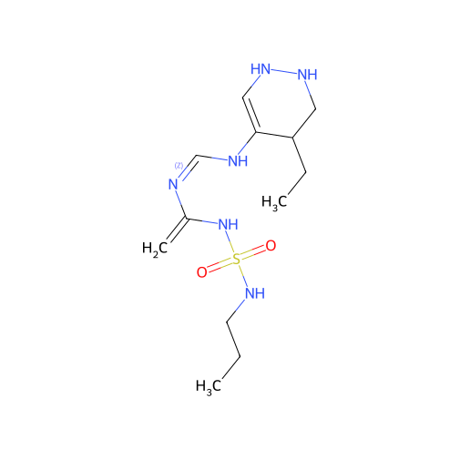 C=C(/N=C\NC1=CNNCC1CC)NS(=O)(=O)NCCC